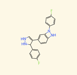 Fc1ccc(C2NNC=C2c2ccc3[nH]n(-c4ccc(F)cc4)c3c2)cc1